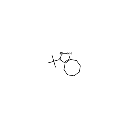 CC(C)(C)N1NNC2=C1CCCCCC2